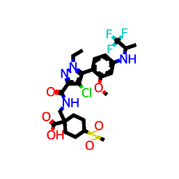 CCn1nc(C(=O)NCC2(C(=O)O)CCC(S(C)(=O)=O)CC2)c(Cl)c1-c1ccc(NC(C)C(F)(F)F)cc1OC